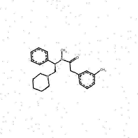 Cc1cccc(CC(=O)N(C)[C@@H](CN2CCCCC2)c2ccccc2)c1